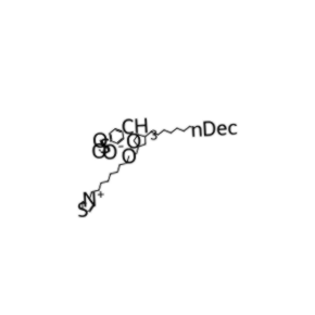 CCCCCCCCCCCCCCCCCC1COC(COCCCCCCCC[n+]2ccsc2)C1.Cc1ccc(S(=O)(=O)[O-])cc1